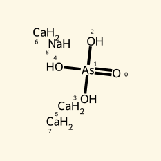 O=[As](O)(O)O.[CaH2].[CaH2].[CaH2].[NaH]